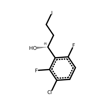 O[C@H](CCI)c1c(F)ccc(Cl)c1F